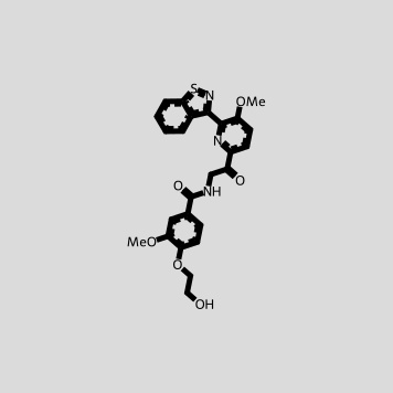 COc1cc(C(=O)NCC(=O)c2ccc(OC)c(-c3nsc4ccccc34)n2)ccc1OCCO